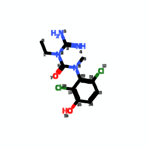 CCN(C(=N)N)C(=O)N(C)c1c(Cl)ccc(O)c1Cl